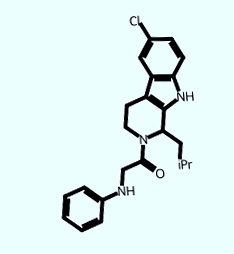 CC(C)CC1c2[nH]c3ccc(Cl)cc3c2CCN1C(=O)CNc1ccccc1